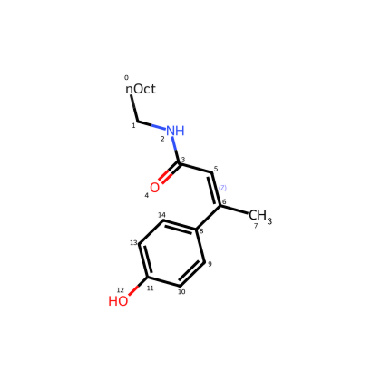 CCCCCCCCCNC(=O)/C=C(/C)c1ccc(O)cc1